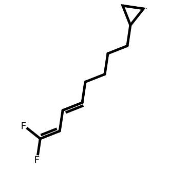 FC(F)=CC=CCCCCC1[CH]C1